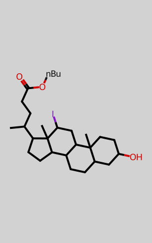 CCCCOC(=O)CCC(C)C1CCC2C3CCC4CC(O)CCC4(C)C3CC(I)C12C